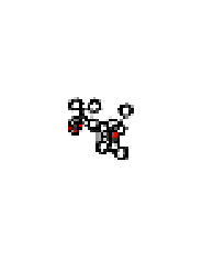 c1ccc(-c2ccc(-n3c4ccccc4c4cccc(-n5c6ccccc6c6cc([Si](c7ccccc7)(c7ccccc7)c7ccccc7)c(-c7ccccc7)cc65)c43)cc2)cc1